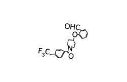 O=Cc1ccccc1OC1CCN(C(=O)c2ccc(CC(F)(F)F)cc2)CC1